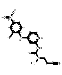 CN(CCC#N)C(=O)Nc1cc(Oc2ccc([N+](=O)[O-])cc2F)ccn1